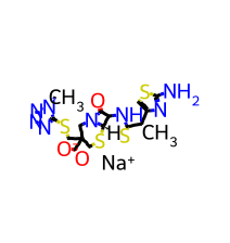 CC(C(=S)NC1C(=O)N2CC(CSc3nnnn3C)(C(=O)[O-])CS[C@H]12)c1csc(N)n1.[Na+]